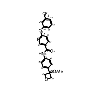 COC1(c2ccc(NC(=O)c3ccc(Oc4cccc(C(F)(F)F)c4)nc3)cc2)COC1